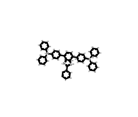 c1ccc(-c2nc3c(-c4ccc(N(c5ccccc5)c5ccccc5)cc4)ccc(-c4ccc(N(c5ccccc5)c5ccccc5)cc4)c3s2)cc1